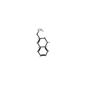 CCC1=Cc2ccccc2CC1